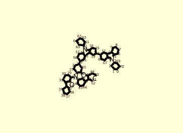 c1ccc(-n2c3ccccc3c3cc(-c4ccc5c(c4)c4cc(-c6ccc(N(c7cccc8c7oc7ccccc78)c7cccc8c7oc7ccccc78)cc6)ccc4n5-c4ccccc4)ccc32)cc1